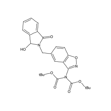 CC(C)(C)OC(=O)N(C(=O)OC(C)(C)C)c1noc2ccc(CN3C(=O)c4ccccc4C3O)cc12